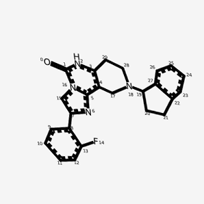 O=c1[nH]c2c(c3nc(-c4ccccc4F)cn13)CN(C1CCc3ccccc31)CC2